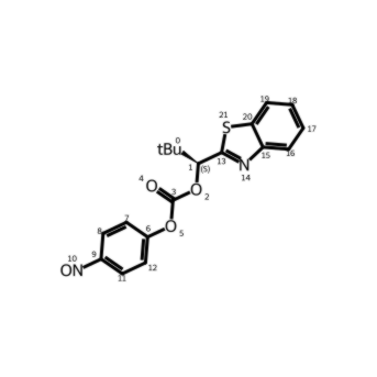 CC(C)(C)[C@H](OC(=O)Oc1ccc(N=O)cc1)c1nc2ccccc2s1